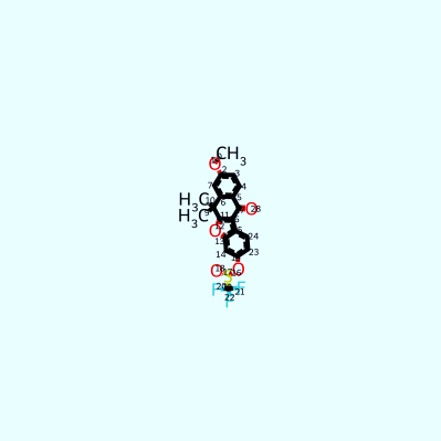 COc1ccc2c(c1)C(C)(C)c1oc3cc(OS(=O)C(F)(F)F)ccc3c1C2=O